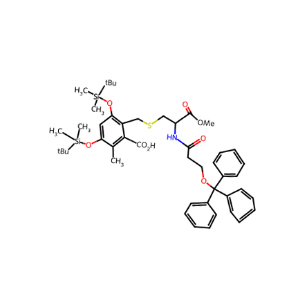 COC(=O)C(CSCc1c(O[Si](C)(C)C(C)(C)C)cc(O[Si](C)(C)C(C)(C)C)c(C)c1C(=O)O)NC(=O)CCOC(c1ccccc1)(c1ccccc1)c1ccccc1